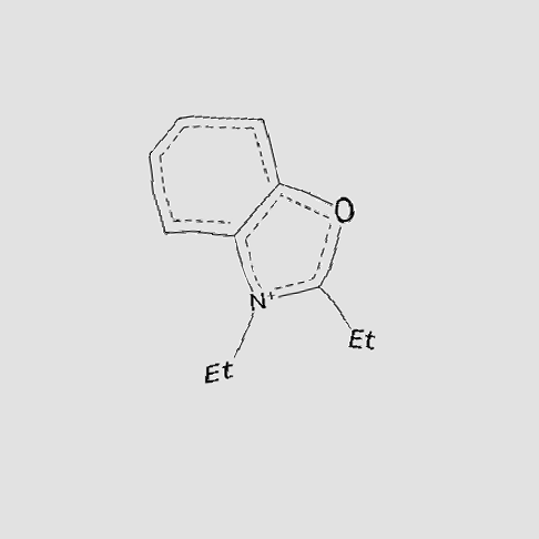 CCc1oc2ccccc2[n+]1CC